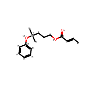 CC=CC(=O)OCCC[Si](C)(C)Oc1ccccc1